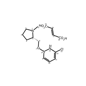 CN1CCC[C@H]1CON1C=CC=C(Cl)N1.O=C(O)/C=C/C(=O)O